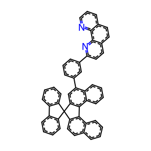 c1cc(-c2ccc3ccc4cccnc4c3n2)cc(-c2cc3c(c4ccccc24)-c2c(ccc4ccccc24)C32c3ccccc3-c3ccccc32)c1